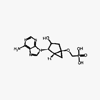 Nc1ncnc2c1ncn2[C@H]1C(O)C[C@]2(OCP(=O)(O)O)C[C@H]12